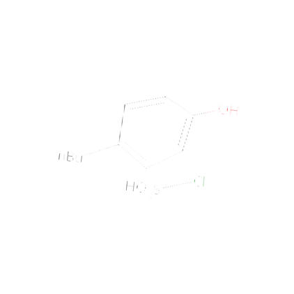 CCCCc1ccc(O)cc1.O=S(=O)(O)Cl